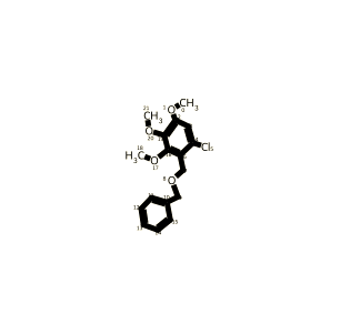 COc1cc(Cl)c(COCc2ccccc2)c(OC)c1OC